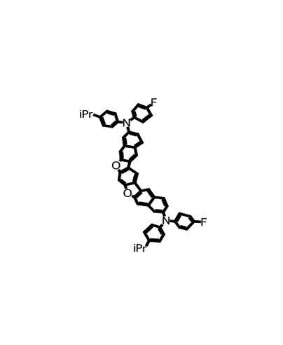 CC(C)c1ccc(N(c2ccc(F)cc2)c2ccc3cc4c(cc3c2)oc2cc3oc5cc6cc(N(c7ccc(F)cc7)c7ccc(C(C)C)cc7)ccc6cc5c3cc24)cc1